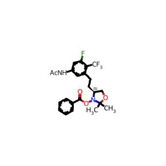 CC(=O)Nc1cc(F)c(C(F)(F)F)c(CC[C@H]2COC(C)(C)N2OC(=O)c2ccccc2)c1